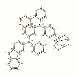 c1ccc(-c2ccccc2N(c2ccc(C34CC5CC(CC(C5)C3)C4)cc2)c2cccc(N(c3ccccc3)c3ccc4sc5ccccc5c4c3)c2)cc1